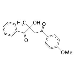 COc1ccc(C(=O)CC(C)(O)C(=O)c2ccccc2)cc1